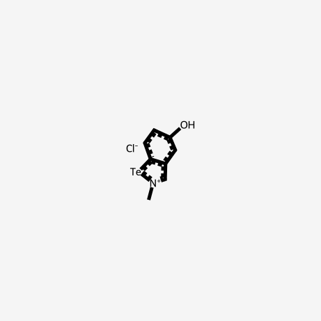 C[n+]1cc2cc(O)ccc2[te]1.[Cl-]